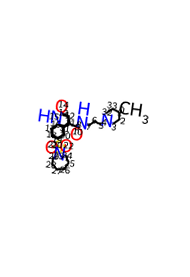 CC1CCN(CCCNC(=O)c2cc(=O)[nH]c3ccc(S(=O)(=O)N4CCCCCC4)cc23)CC1